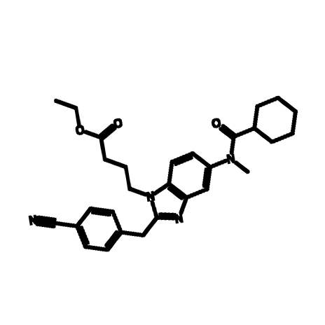 CCOC(=O)CCCn1c(Cc2ccc(C#N)cc2)nc2cc(N(C)C(=O)C3CCCCC3)ccc21